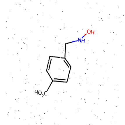 O=C(O)c1ccc(CNO)cc1